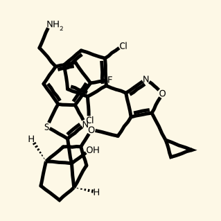 NCc1cc(F)c2nc(C3(O)[C@@H]4CC[C@H]3CC(OCc3c(-c5c(Cl)cccc5Cl)noc3C3CC3)C4)sc2c1